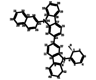 C[C@@H]1CC=CC=C1n1c2c(c3ccc(-c4ccc5c6ccccc6n(-c6ccc7ccccc7c6)c5c4)cc31)C=CCC2